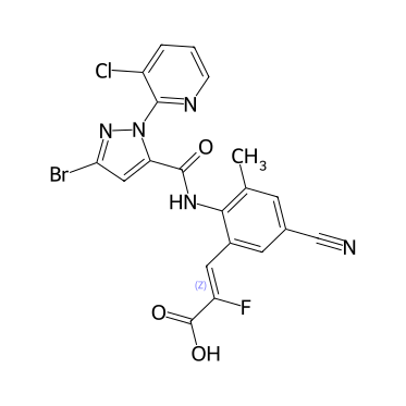 Cc1cc(C#N)cc(/C=C(\F)C(=O)O)c1NC(=O)c1cc(Br)nn1-c1ncccc1Cl